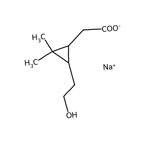 CC1(C)C(CCO)C1CC(=O)[O-].[Na+]